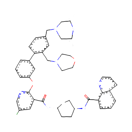 C[C@@H]1CN(Cc2ccc(-c3cccc(Oc4ncc(F)cc4C(=O)N[C@H]4CC[C@H](NC(=O)c5cccc6cccnc56)CC4)c3)c(CN3CCOCC3)c2)C[C@H](C)N1